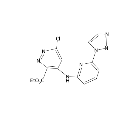 CCOC(=O)c1nnc(Cl)cc1Nc1cccc(-n2ccnn2)n1